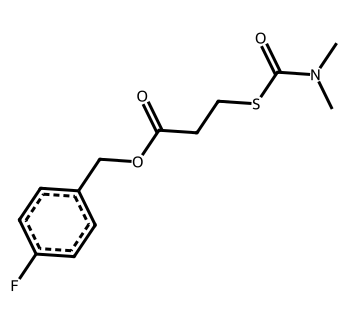 CN(C)C(=O)SCCC(=O)OCc1ccc(F)cc1